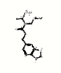 CC(=O)SCN(C(=O)CCc1ccc2c(c1)OCO2)[C@@H](C)C(=O)O